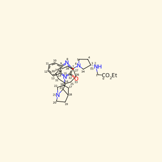 CCOC(=O)CN[C@H]1CCN(c2nc3ccccc3n(C3CC4CCN(C3)C4C3CCCCCCC3)c2=O)C1